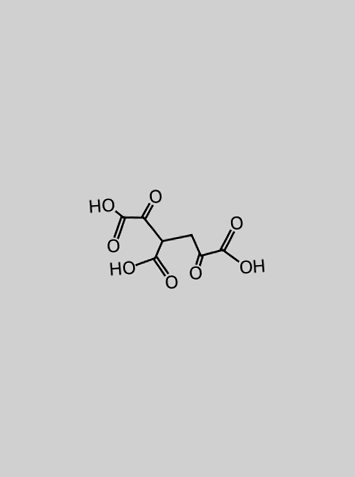 O=C(O)C(=O)CC(C(=O)O)C(=O)C(=O)O